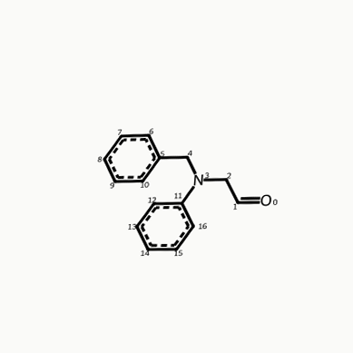 O=CCN(Cc1ccccc1)c1ccccc1